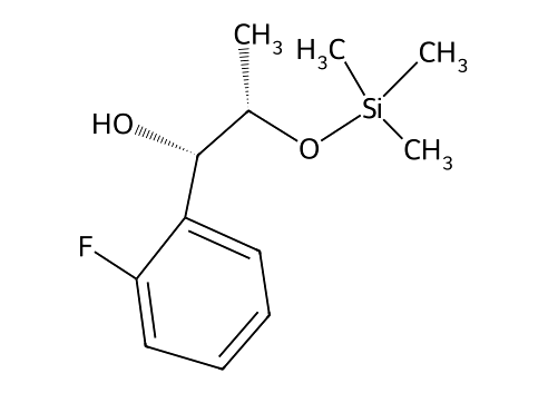 C[C@H](O[Si](C)(C)C)[C@@H](O)c1ccccc1F